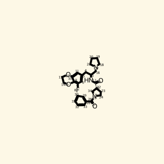 O=C(NC(Cc1cc(F)c2c(c1)OCCO2)CN1CCCC1)[C@@H]1CCN(C(=O)c2ccccc2)C1